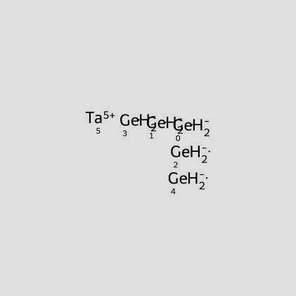 [GeH2-].[GeH2-].[GeH2-].[GeH2-].[GeH2-].[Ta+5]